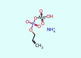 C=CCOP(=O)([O-])[O][Mo](=[O])(=[O])[OH].[NH4+]